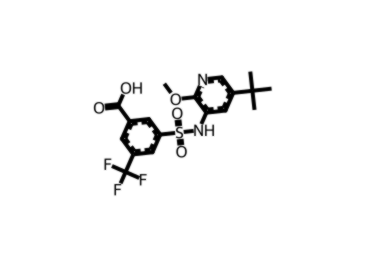 COc1ncc(C(C)(C)C)cc1NS(=O)(=O)c1cc(C(=O)O)cc(C(F)(F)F)c1